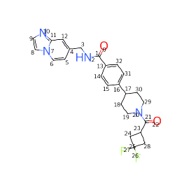 O=C(NCc1ccn2ccnc2c1)c1ccc(C2CCN(C(=O)C3CC(F)(F)C3)CC2)cc1